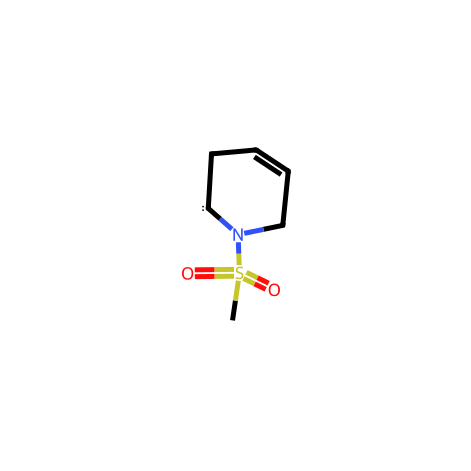 CS(=O)(=O)N1[C]CC=CC1